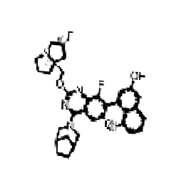 Oc1cc(-c2c(Cl)cc3c(N4CC5CCC(C5)C4)nc(OC[C@@]45CCCN4C[C@H](F)C5)nc3c2F)c2c(Cl)cccc2c1